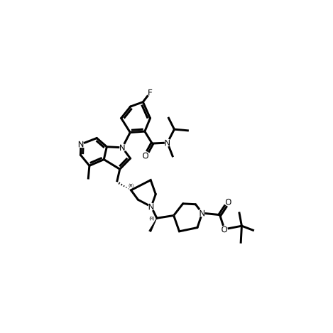 Cc1cncc2c1c(C[C@@H]1CCN([C@H](C)C3CCN(C(=O)OC(C)(C)C)CC3)C1)cn2-c1ccc(F)cc1C(=O)N(C)C(C)C